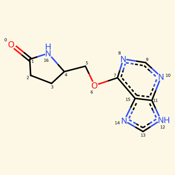 O=C1CCC(COc2ncnc3[nH]cnc23)N1